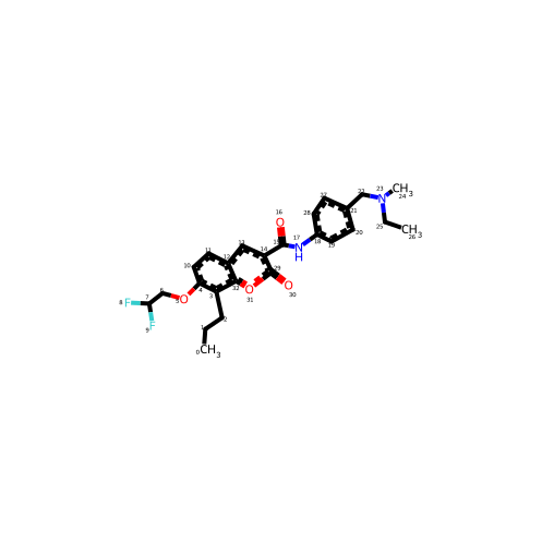 CCCc1c(OCC(F)F)ccc2cc(C(=O)Nc3ccc(CN(C)CC)cc3)c(=O)oc12